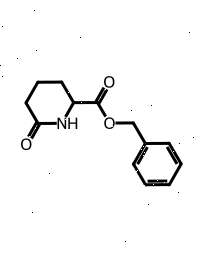 O=C1CCCC(C(=O)OCc2ccccc2)N1